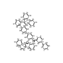 c1ccc(-c2cccc(N(c3ccc(-c4ccc5c(c4)c(-c4ccccc4)c(-c4ccccc4)c4ccccc45)cc3)c3cccc4c3oc3c5ccccc5ccc43)c2)cc1